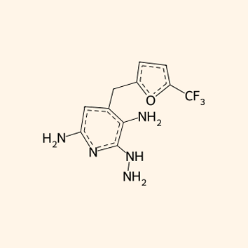 NNc1nc(N)cc(Cc2ccc(C(F)(F)F)o2)c1N